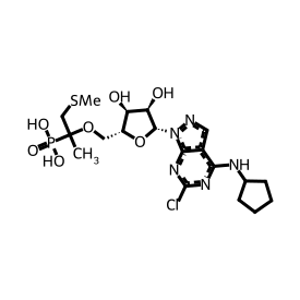 CSCC(C)(OC[C@H]1O[C@@H](n2ncc3c(NC4CCCC4)nc(Cl)nc32)[C@H](O)[C@@H]1O)P(=O)(O)O